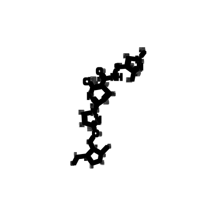 CCC1CCC(C)C1COc1ccn(-c2ccc(C(=O)NSc3cn(C)nc3C)c(Cl)n2)n1